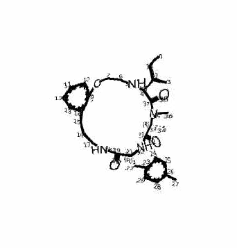 CCC(C)[C@@H]1NCCOc2ccccc2CCCNC(=O)[C@@H](Cc2ccc(C)cc2)NC(=O)[C@@H](C)N(C)C1=O